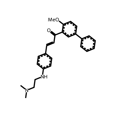 COc1ccc(-c2ccccc2)cc1C(=O)C=Cc1ccc(NCCN(C)C)cc1